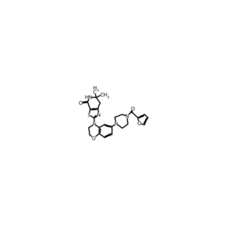 CC1(C)Cc2nc(N3CCOc4ccc(N5CCN(C(=O)c6ccco6)CC5)cc43)sc2C(=O)N1